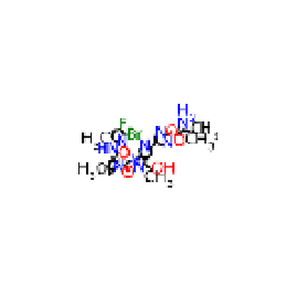 Cc1cc(F)c(Br)nc1NC(=O)[C@@H]1C[C@@]2(C)CC2N1C(=O)Cn1nc(C(C)O)c2cc(-c3cnc(OC(=O)[C@@H](N)C(C)C)nc3)ncc21